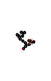 c1ccc(-c2ccc3c(c2)c2cc(-c4ccc(-c5ccc6nc7c(oc8ccccc87)c(-c7cccc(-n8c9ccccc9c9ccccc98)c7)c6c5)cc4)ccc2n3-c2cccc(-c3c4ccccc4nc4c3oc3ccccc34)c2)cc1